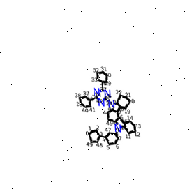 c1ccc(-c2cccc(-n3c4ccccc4c4c5c6ccccc6n(-c6nc(-c7ccccc7)nc(-c7ccccc7)n6)c5ccc43)c2)cc1